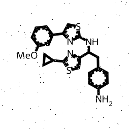 COc1cccc(-c2csc(NC(Cc3ccc(N)cc3)c3csc(C4CC4)n3)n2)c1